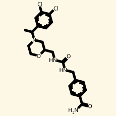 CC(c1ccc(Cl)c(Cl)c1)N1CCOC(CNC(=O)NCc2ccc(C(N)=O)cc2)C1